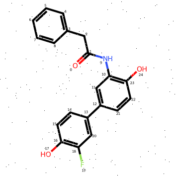 O=C(Cc1ccccc1)Nc1cc(-c2ccc(O)c(F)c2)ccc1O